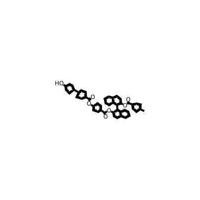 Cc1ccc(C(=O)Oc2ccc3ccccc3c2-c2c(OC(=O)c3ccc(OC(=O)c4ccc(-c5ccc(O)cc5)cc4)cc3)ccc3ccccc23)cc1